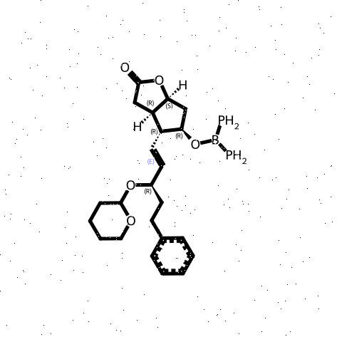 O=C1C[C@@H]2[C@@H](/C=C/[C@@H](CCc3ccccc3)OC3CCCCO3)[C@H](OB(P)P)C[C@@H]2O1